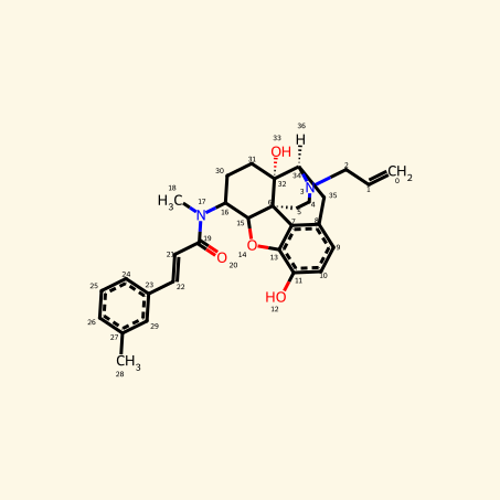 C=CCN1CC[C@]23c4c5ccc(O)c4OC2C(N(C)C(=O)/C=C/c2cccc(C)c2)CC[C@@]3(O)[C@H]1C5